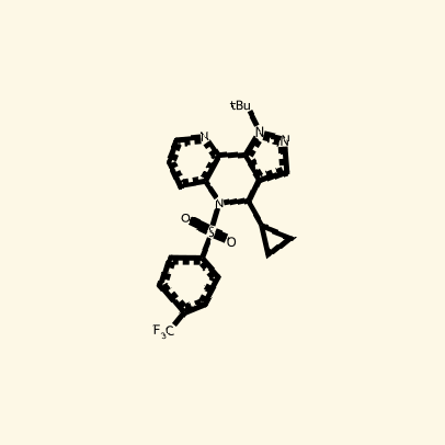 CC(C)(C)n1ncc2c1-c1ncccc1N(S(=O)(=O)c1ccc(C(F)(F)F)cc1)C2C1CC1